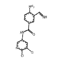 N=Cc1cc(C(=O)Nc2cnc(Cl)c(Cl)c2)ccc1N